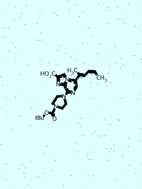 C/C=C\C=C(/C)c1cnc(N2CCN(C(=O)OC(C)(C)C)CC2)c2nc(C(=O)O)cn12